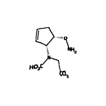 NO[C@H]1CC=C[C@H]1N(CC(Cl)(Cl)Cl)C(=O)O